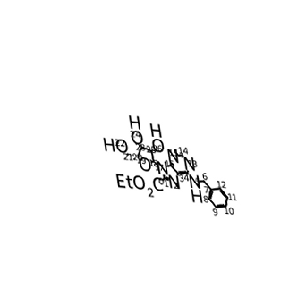 CCOC(=O)c1nc2c(NCc3ccccc3)ncnc2n1[C@@H]1O[C@H](CO)[C@@H](O)[C@H]1O